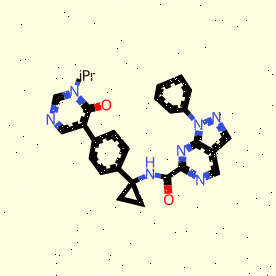 CC(C)n1cncc(-c2ccc(C3(NC(=O)c4ncc5cnn(-c6ccccc6)c5n4)CC3)cc2)c1=O